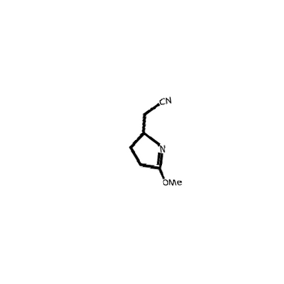 COC1=NC(CC#N)CC1